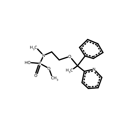 COP(=O)(O)N(C)CCOC(C)(c1ccccc1)c1ccccn1